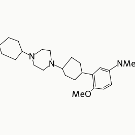 CNc1ccc(OC)c(C2CCC(N3CCN(C4CCCCC4)CC3)CC2)c1